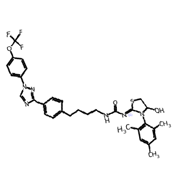 Cc1cc(C)c(N2/C(=N/C(=O)NCCCCc3ccc(-c4ncn(-c5ccc(OC(F)(F)F)cc5)n4)cc3)SCC2O)c(C)c1